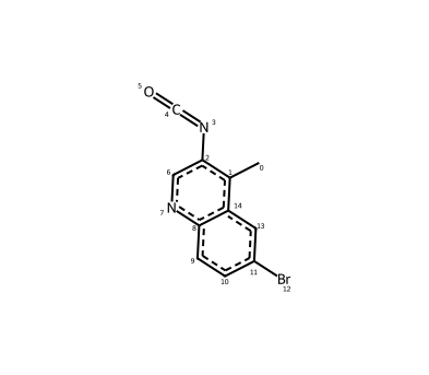 Cc1c(N=C=O)cnc2ccc(Br)cc12